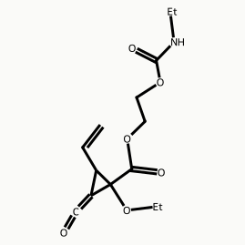 C=CC1C(=C=O)C1(OCC)C(=O)OCCOC(=O)NCC